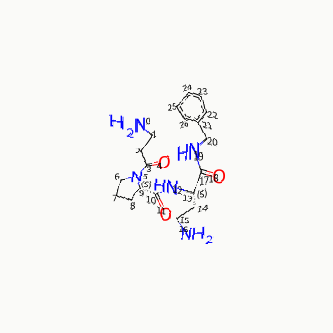 NCCC(=O)N1CCC[C@H]1C(=O)N[C@@H](CCN)C(=O)NCc1ccccc1